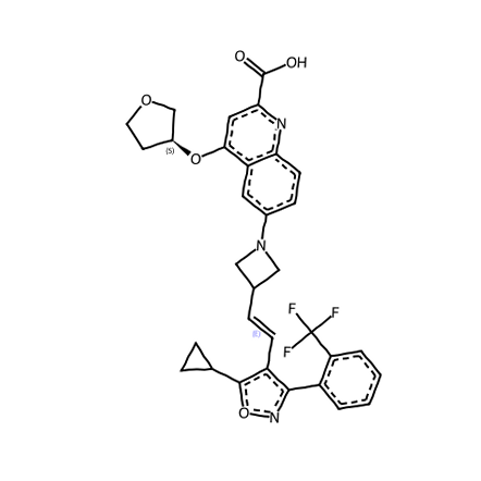 O=C(O)c1cc(O[C@H]2CCOC2)c2cc(N3CC(/C=C/c4c(-c5ccccc5C(F)(F)F)noc4C4CC4)C3)ccc2n1